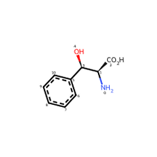 N[C@H](C(=O)O)[C@H](O)c1ccccc1